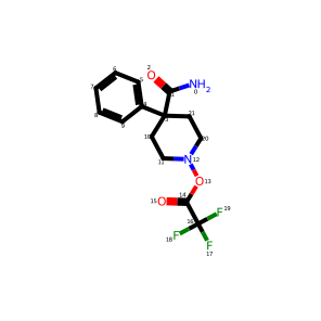 NC(=O)C1(c2ccccc2)CCN(OC(=O)C(F)(F)F)CC1